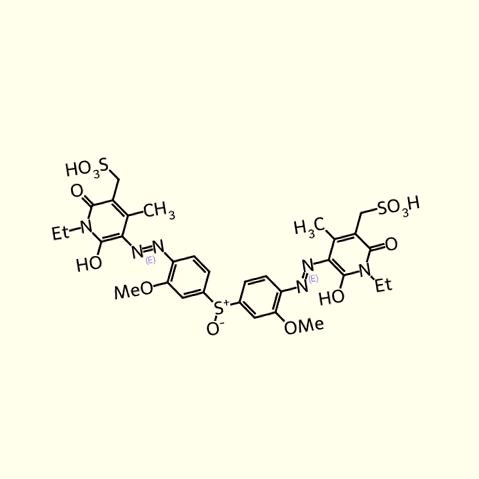 CCn1c(O)c(/N=N/c2ccc([S+]([O-])c3ccc(/N=N/c4c(C)c(CS(=O)(=O)O)c(=O)n(CC)c4O)c(OC)c3)cc2OC)c(C)c(CS(=O)(=O)O)c1=O